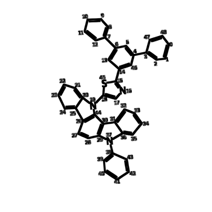 c1ccc(-c2cc(-c3ccccc3)cc(-c3ncc(-n4c5ccccc5c5ccc6c(c7ccccc7n6-c6ccccc6)c54)s3)c2)cc1